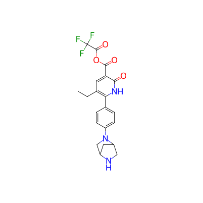 CCc1cc(C(=O)OC(=O)C(F)(F)F)c(=O)[nH]c1-c1ccc(N2CC3CC2CN3)cc1